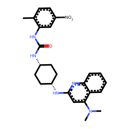 Cc1ccc([N+](=O)[O-])cc1NC(=O)N[C@H]1CC[C@@H](Nc2cc(N(C)C)c3ccccc3n2)CC1